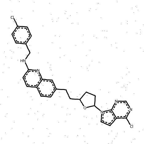 Clc1ccc(CNc2ccc3ccc(CCC4CCC(n5ccc6c(Cl)ncnc65)O4)cc3n2)cc1